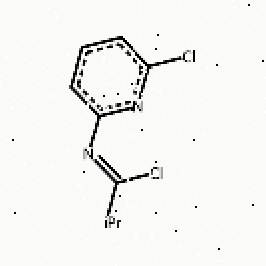 CC(C)/C(Cl)=N/c1cccc(Cl)n1